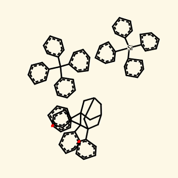 c1ccc(C(c2ccccc2)(c2ccccc2)c2ccccc2)cc1.c1ccc(C23CC4CC(C2)CC(c2ccccc2)(C4)C3(c2ccccc2)c2ccccc2)cc1.c1ccc([Si](c2ccccc2)(c2ccccc2)c2ccccc2)cc1